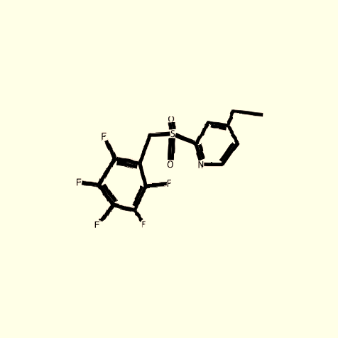 CCc1ccnc(S(=O)(=O)Cc2c(F)c(F)c(F)c(F)c2F)c1